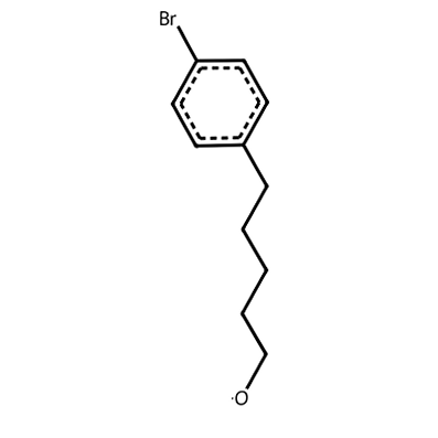 [O]CCCCCc1ccc(Br)cc1